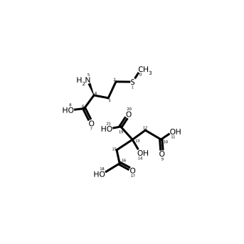 CSCC[C@H](N)C(=O)O.O=C(O)CC(O)(CC(=O)O)C(=O)O